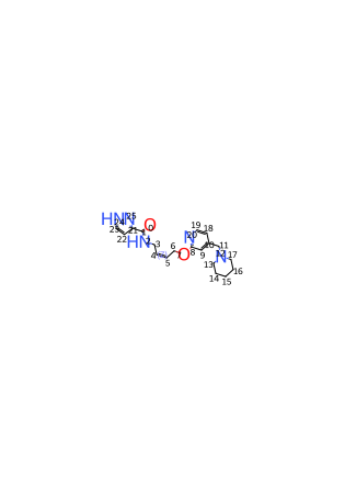 O=C(NC/C=C\COc1cc(CN2CCCCC2)ccn1)c1cc[nH]n1